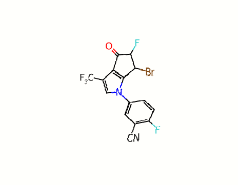 N#Cc1cc(-n2cc(C(F)(F)F)c3c2C(Br)C(F)C3=O)ccc1F